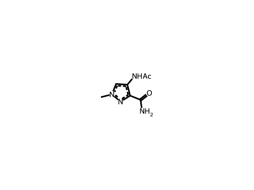 CC(=O)Nc1cn(C)nc1C(N)=O